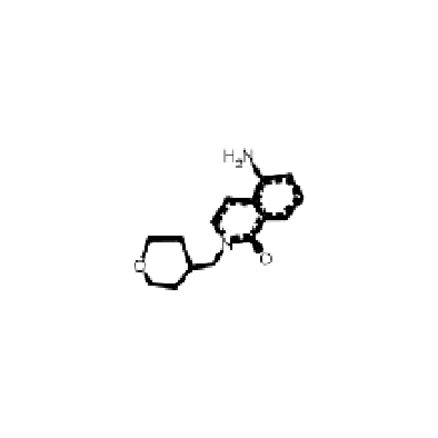 Nc1cccc2c(=O)n(CC3CCOCC3)ccc12